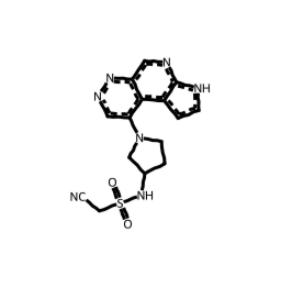 N#CCS(=O)(=O)NC1CCN(c2cnnc3cnc4[nH]ccc4c23)C1